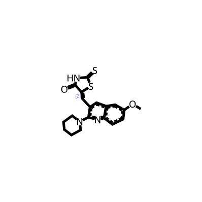 COc1ccc2nc(N3CCCCC3)c(/C=C3\SC(=S)NC3=O)cc2c1